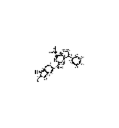 CNc1nc(Nc2ccc3[nH]c(C)cc3c2)nc2c1CCC2c1ccccc1